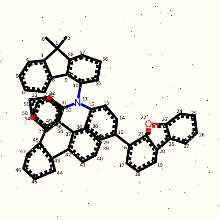 CC1(C)c2ccccc2-c2c(N(c3ccc(-c4cccc5c4oc4ccccc45)cc3)c3ccccc3-c3ccccc3-c3ccccc3-c3ccccc3)cccc21